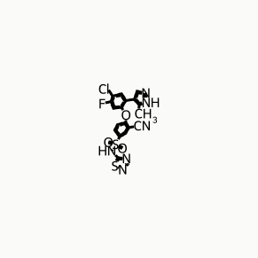 Cc1[nH]ncc1-c1cc(Cl)c(F)cc1Oc1ccc(S(=O)(=O)Nc2ncns2)cc1C#N